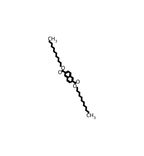 CCCCCCCCCCCCOC(=O)c1ccc2cc(C(=O)OCCCCCCCCCCCC)ccc2c1